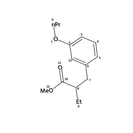 CCCOc1cccc(CC(CC)C(=O)OC)c1